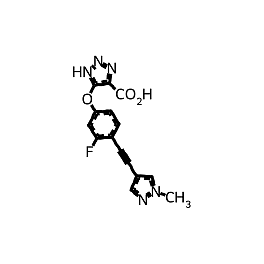 Cn1cc(C#Cc2ccc(Oc3[nH]nnc3C(=O)O)cc2F)cn1